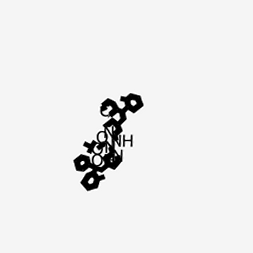 Cc1ccccc1C(=Cc1ccnc(NN(C(=O)OC(C)(C)C)c2cc(CC(O)(c3ccccc3)c3ccccc3C)ccn2)c1)c1ccccc1